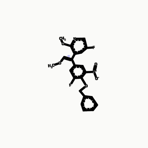 CO/C=C(\c1cc(F)c(OCc2ccccc2)c([N+](=O)[O-])c1)c1cc(F)cnc1OC